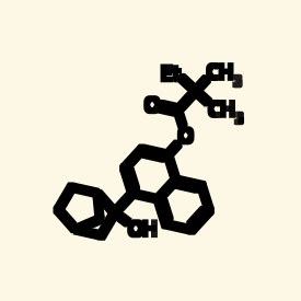 CCC(C)(C)C(=O)Oc1ccc(C2(O)CC3CCC2C3)c2ccccc12